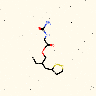 CCC(COC(=O)CNC(N)=O)CC1CCSS1